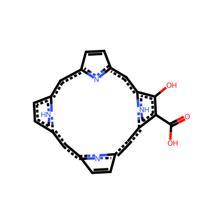 O=C(O)c1c(O)c2cc3nc(cc4ccc(cc5nc(cc1[nH]2)C=C5)[nH]4)C=C3